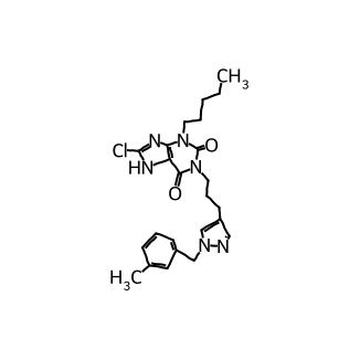 CCCCCn1c(=O)n(CCCc2cnn(Cc3cccc(C)c3)c2)c(=O)c2[nH]c(Cl)nc21